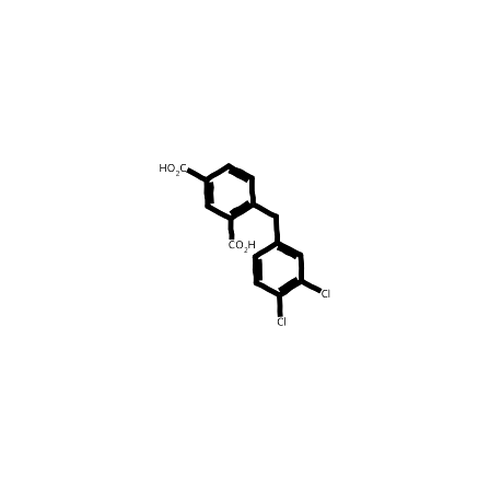 O=C(O)c1ccc(Cc2ccc(Cl)c(Cl)c2)c(C(=O)O)c1